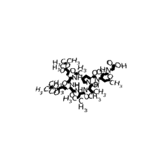 CCCC(NC(=O)[C@@H]1CCCN1C(=O)[C@@H](NC(=O)[C@@H](NC(=O)[C@H](CCC(=O)OC(C)(C)C)NC(=O)[C@H](CCC(=O)OC(C)(C)C)NC(C)=O)C(C)C)C(C)C)C(=O)C(=O)NCC(=O)O